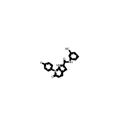 N#Cc1cccc(NC(=O)c2cc3ccc(=O)n(-c4ccc(F)cc4)c3[nH]2)c1